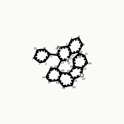 c1ccc(-c2nc3ccccc3nc2-c2cccc3ccc4oc5ccccc5c4c23)cc1